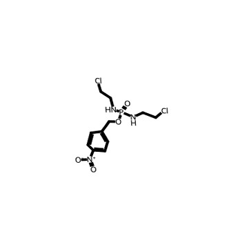 O=[N+]([O-])c1ccc(COP(=O)(NCCCl)NCCCl)cc1